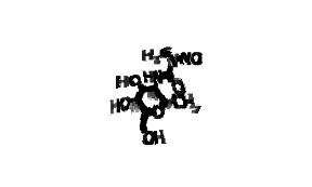 C[C@@H]1OC(CO)[C@@H](O)C(O)[C@@H]1NC(=O)N(C)N=O